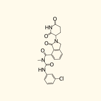 CN(C(=O)Nc1cccc(Cl)c1)C(=O)c1cccc2c1C(=O)N(C1CCC(=O)NC1=O)C2